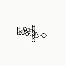 CC(C)(C)[Si](C)(C)OC1CNc2nc(-c3ccccc3)cc(=O)n2C1